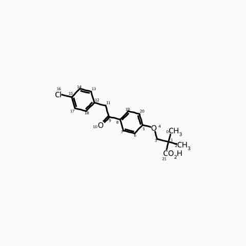 CC(C)(COc1ccc(C(=O)Cc2ccc(Cl)cc2)cc1)C(=O)O